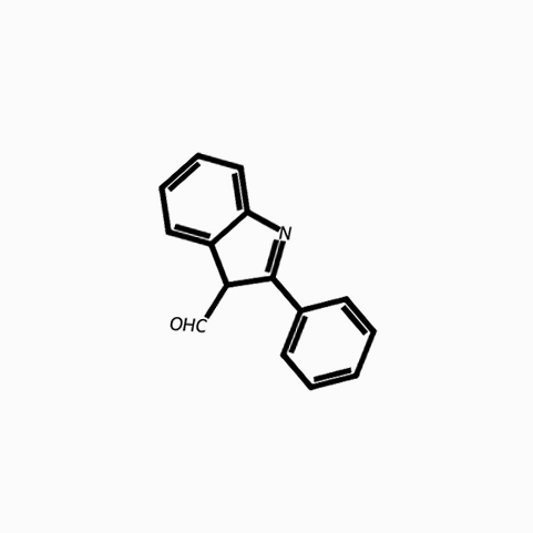 O=CC1C(c2ccccc2)=Nc2ccccc21